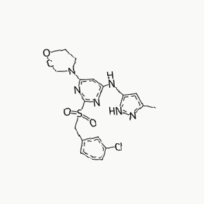 Cc1cc(Nc2cc(N3CCOCC3)nc(S(=O)(=O)Cc3cccc(Cl)c3)n2)[nH]n1